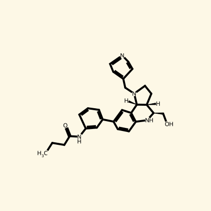 CCCC(=O)Nc1cccc(-c2ccc3c(c2)[C@H]2[C@H](CCN2Cc2ccncc2)[C@@H](CO)N3)c1